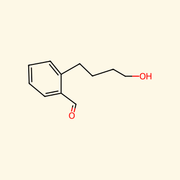 O=Cc1ccccc1CCCCO